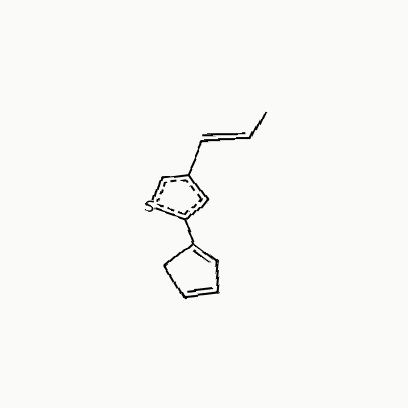 C/C=C/c1csc(C2=CC=CC2)c1